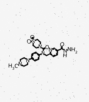 CN1CCN(c2ccc(N(Cc3ccc(C(=O)NN)cn3)C(=O)N3CCS(=O)(=O)CC3)cc2)CC1